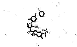 Cc1cc2[nH]c(C(=O)c3cnn(-c4ccc(Oc5ccccc5F)cc4C)c3N)cc2cc1NS(C)(=O)=O